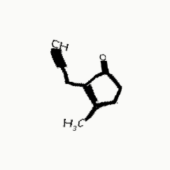 C#CCC1=C(C)[CH]CC1=O